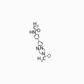 CC(=O)Nc1ccc(-c2ccc3c(c2)nc2n3CCN(C(C)C3CCC3)CC2)cc1